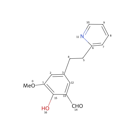 COc1cc(CCc2ccccn2)cc(C=O)c1O